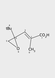 CC(=CC1(C(C)(C)C)CO1)C(=O)O